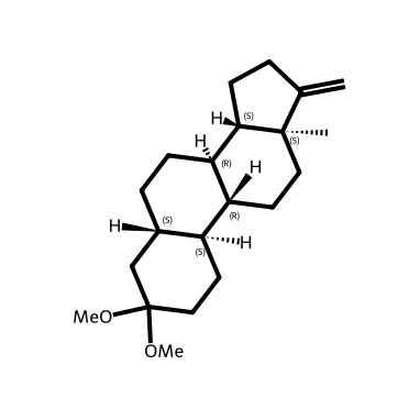 C=C1CC[C@H]2[C@@H]3CC[C@H]4CC(OC)(OC)CC[C@@H]4[C@H]3CC[C@]12C